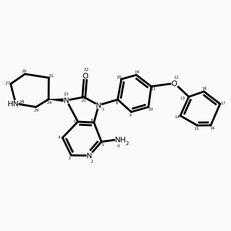 Nc1nccc2c1n(-c1ccc(Oc3ccccc3)cc1)c(=O)n2[C@@H]1CCCNC1